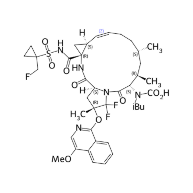 CCC(C)N(C(=O)O)[C@@H]1C(=O)N2[C@@H](C[C@@](C)(Oc3ncc(OC)c4ccccc34)C2(F)F)C(=O)N[C@]2(C(=O)NS(=O)(=O)C3(CF)CC3)C[C@H]2/C=C\CC[C@H](C)C[C@H]1C